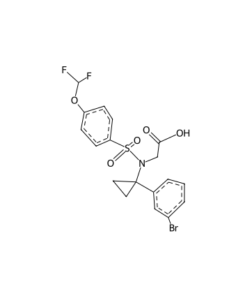 O=C(O)CN(C1(c2cccc(Br)c2)CC1)S(=O)(=O)c1ccc(OC(F)F)cc1